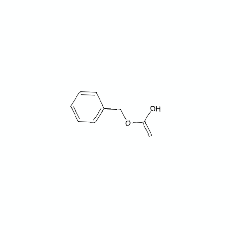 C=C(O)OCc1ccccc1